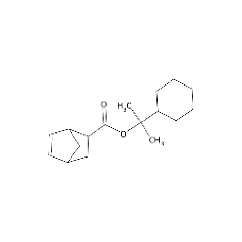 CC(C)(OC(=O)C1CC2C=CC1C2)C1CCCCC1